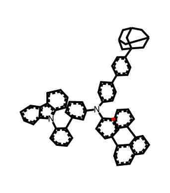 c1ccc(-c2cccc3cccc(-c4ccc(N(c5ccc(-c6ccc(C78CC9CC(CC(C9)C7)C8)cc6)cc5)c5cccc(-c6ccccc6-n6c7ccccc7c7ccccc76)c5)cc4)c23)cc1